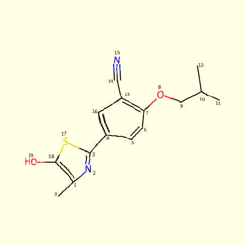 Cc1nc(-c2ccc(OCC(C)C)c(C#N)c2)sc1O